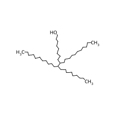 CCCCCCCCCCCC(CCCCCCCCC)C(CCCCCCCCO)CCCCCCCCCCC